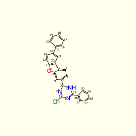 ClC1=NC(c2ccc3c(c2)oc2ccc(-c4ccccc4)cc23)NC(c2ccccc2)=N1